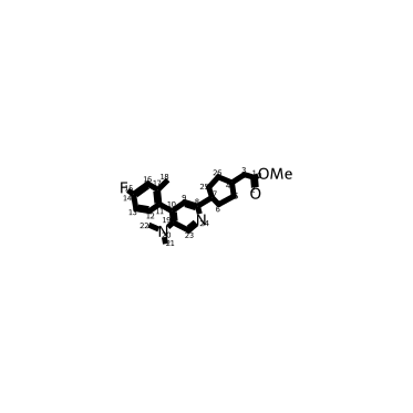 COC(=O)CC1CCC(c2cc(-c3ccc(F)cc3C)c(N(C)C)cn2)CC1